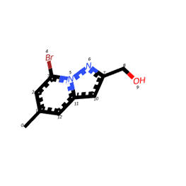 Cc1cc(Br)n2nc(CO)cc2c1